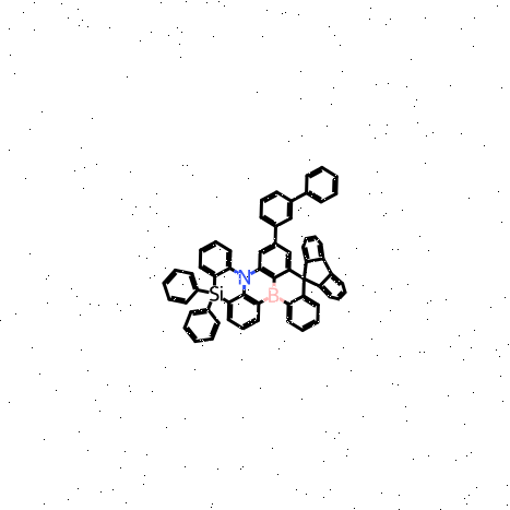 c1ccc(-c2cccc(-c3cc4c5c(c3)C3(c6ccccc6B5c5cccc6c5N4c4ccccc4[Si]6(c4ccccc4)c4ccccc4)c4ccccc4-c4ccccc43)c2)cc1